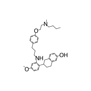 CCCCN(C)CCOc1ccc(CCCNc2cc(OC)ccc2C2CCc3cc(O)ccc3C2)cc1